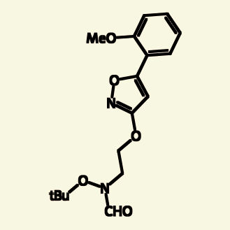 COc1ccccc1-c1cc(OCCN(C=O)OC(C)(C)C)no1